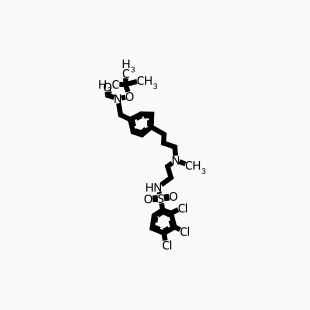 CN(CCCc1ccc(CN(C=O)OC(C)(C)C)cc1)CCNS(=O)(=O)c1ccc(Cl)c(Cl)c1Cl